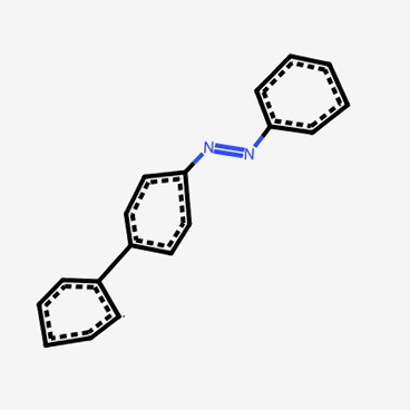 [c]1ccccc1-c1ccc(N=Nc2ccccc2)cc1